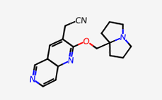 N#CCC1=CC2C=NC=CC2N=C1OCC12CCCN1CCC2